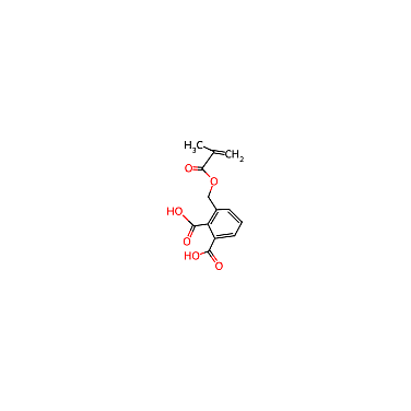 C=C(C)C(=O)OCc1cccc(C(=O)O)c1C(=O)O